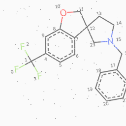 FC(F)(F)c1ccc2c(c1)OCC21CCN(Cc2ccccc2)C1